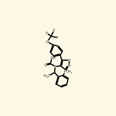 Cc1noc(-c2ccc(OC(F)(F)F)cc2)c1N(C(=O)O)C(C)c1ccccc1F